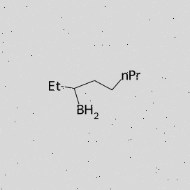 BC(CC)CCCCC